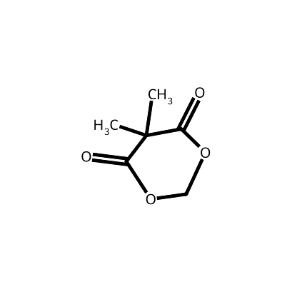 CC1(C)C(=O)OCOC1=O